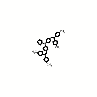 Cc1ccc(C(=Cc2ccc(N(c3ccccc3)c3ccc(C=C(c4ccc(C)cc4)c4ccc(C)cc4)cc3)cc2)c2ccc(C)cc2)cc1